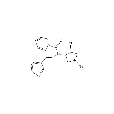 CCN1C[C@H](O)[C@@H](N(CCc2ccccc2)C(=O)c2ccccc2)C1